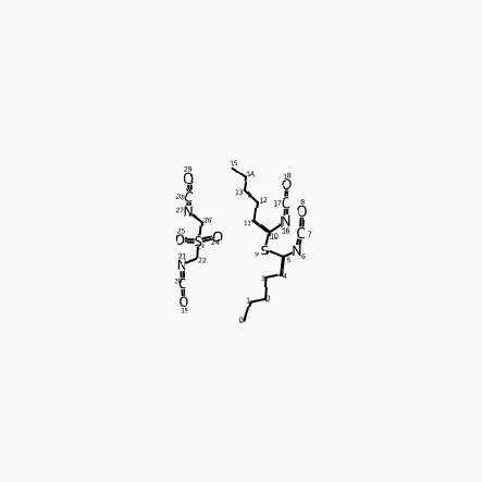 CCCCCC(N=C=O)SC(CCCCC)N=C=O.O=C=NCS(=O)(=O)CN=C=O